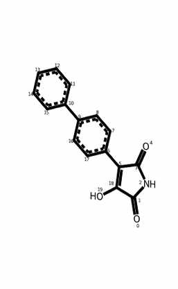 O=C1NC(=O)C(c2ccc(-c3ccccc3)cc2)=C1O